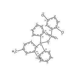 Cc1ccc(S(OS(=O)(=O)c2cc(Cl)ccc2Cl)(c2ccccc2)c2ccccc2)c(C)c1